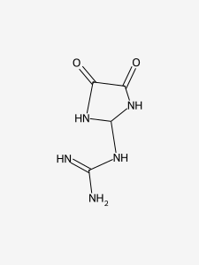 N=C(N)NC1NC(=O)C(=O)N1